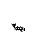 Nc1ncnn2ccc(-c3ccc4cc(Cc5cc(F)cc(F)c5)ncc4c3F)c12